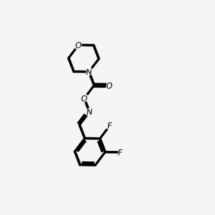 O=C(O/N=C/c1cccc(F)c1F)N1CCOCC1